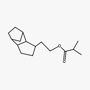 CC(C)C(=O)OCCC1CCC2C3CCC(C3)C12